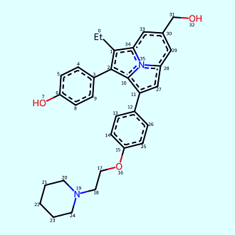 CCc1c(-c2ccc(O)cc2)c2c(-c3ccc(OCCN4CCCCC4)cc3)cc3cc(CO)cc1n32